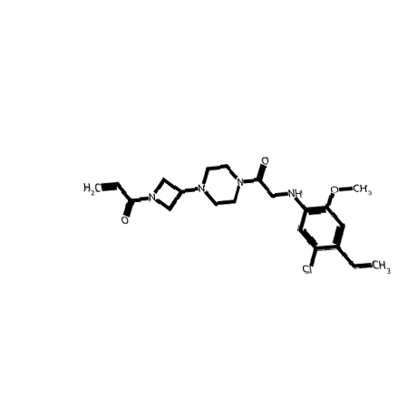 C=CC(=O)N1CC(N2CCN(C(=O)CNc3cc(Cl)c(CC)cc3OC)CC2)C1